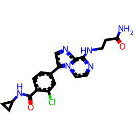 NC(=O)CCNc1nccn2c(-c3ccc(C(=O)NC4CC4)c(Cl)c3)cnc12